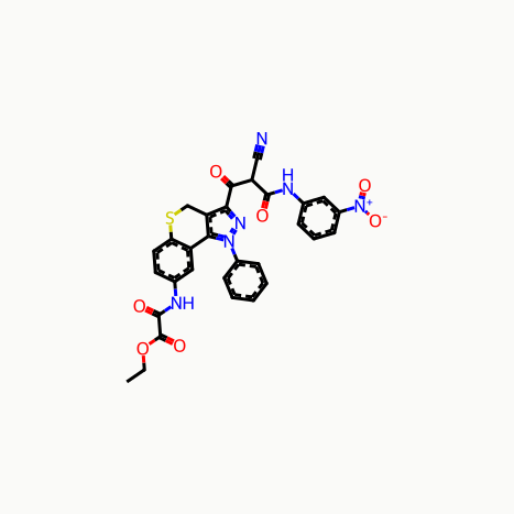 CCOC(=O)C(=O)Nc1ccc2c(c1)-c1c(c(C(=O)C(C#N)C(=O)Nc3cccc([N+](=O)[O-])c3)nn1-c1ccccc1)CS2